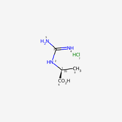 C[C@H](NC(=N)N)C(=O)O.Cl